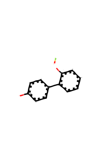 Oc1ccc(-c2ccccc2OF)cc1